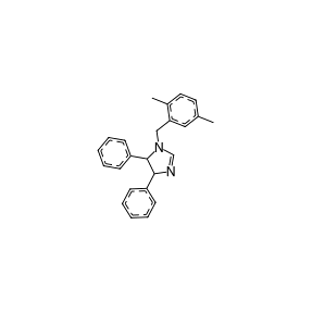 Cc1ccc(C)c(CN2C=NC(c3ccccc3)C2c2ccccc2)c1